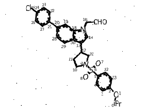 CC(C)Oc1ccc(S(=O)(=O)N2CCC(c3cn(CC=O)c4cc(-c5ccc(Cl)cc5)ccc34)C2)cc1